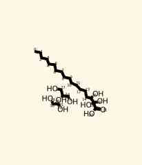 CCCCCCCCCCCCCCCC(O)C(O)(O)C(=O)O.OCC(O)CO.OCCO